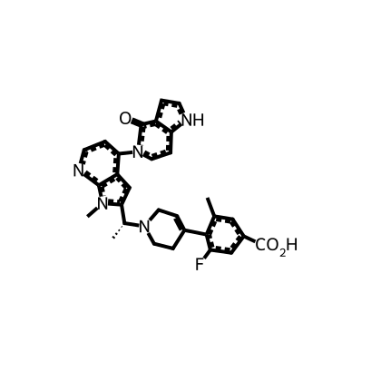 Cc1cc(C(=O)O)cc(F)c1C1=CCN([C@H](C)c2cc3c(-n4ccc5[nH]ccc5c4=O)ccnc3n2C)CC1